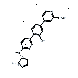 COc1cc(-c2ccc(-c3ccc(N(C)[C@@H]4CC=C[C@@H]4F)nn3)c(O)c2)ccn1